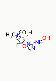 Cc1cc2c(F)c(Oc3ccnc(CNCCO)n3)ccc2n1C(=O)O